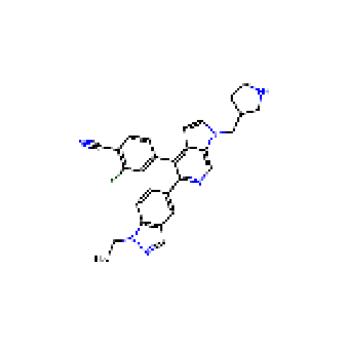 CCn1ncc2cc(-c3ncc4c(ccn4CC4CCNC4)c3-c3ccc(C#N)c(F)c3)ccc21